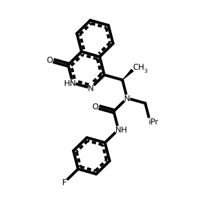 CC(C)CN(C(=O)Nc1ccc(F)cc1)[C@H](C)c1n[nH]c(=O)c2ccccc12